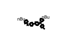 CCCCc1ccc(N(C)c2ccc(-c3ccc(N(c4ccc(C)cc4)c4ccc(CCCC)cc4)cc3)cc2)cc1